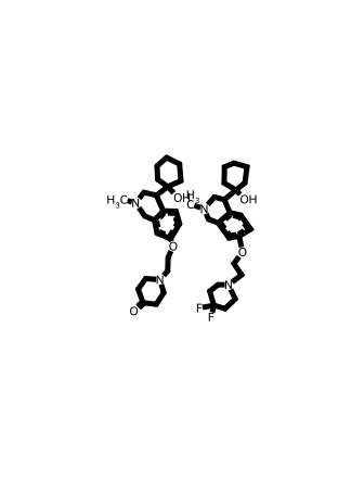 CN1Cc2cc(OCCN3CCC(=O)CC3)ccc2C(C2(O)CCCCC2)C1.CN1Cc2cc(OCCN3CCC(F)(F)CC3)ccc2C(C2(O)CCCCC2)C1